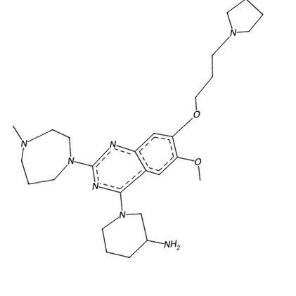 COc1cc2c(N3CCCC(N)C3)nc(N3CCCN(C)CC3)nc2cc1OCCCN1CCCC1